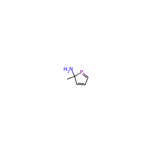 CC1(N)C=CC=P1